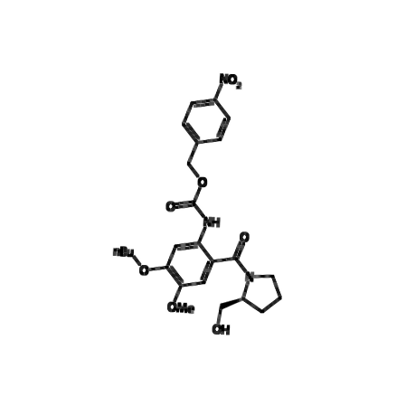 CCCCOc1cc(NC(=O)OCc2ccc([N+](=O)[O-])cc2)c(C(=O)N2CCC[C@H]2CO)cc1OC